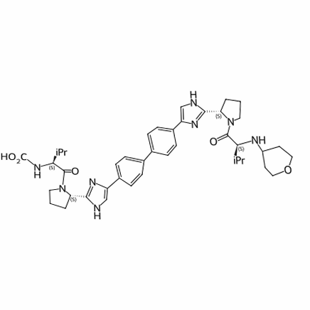 CC(C)[C@H](NC(=O)O)C(=O)N1CCC[C@H]1c1nc(-c2ccc(-c3ccc(-c4c[nH]c([C@@H]5CCCN5C(=O)[C@@H](NC5CCOCC5)C(C)C)n4)cc3)cc2)c[nH]1